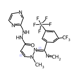 C=N/C(=N\N(C)/C=C\C(=O)NNc1cnccn1)c1cc(C(F)(F)F)cc(S(F)(F)(F)(F)F)c1